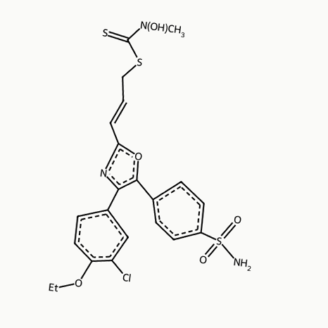 CCOc1ccc(-c2nc(C=CCSC(=S)N(C)O)oc2-c2ccc(S(N)(=O)=O)cc2)cc1Cl